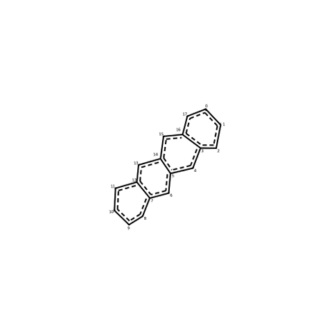 [c]1[c]cc2cc3cc4ccccc4cc3cc2c1